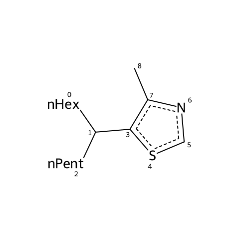 CCCCCCC(CCCCC)c1scnc1C